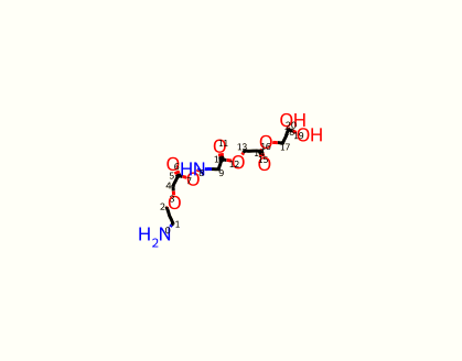 NCCOCC(=O)ONCC(=O)OCC(=O)OCC(O)O